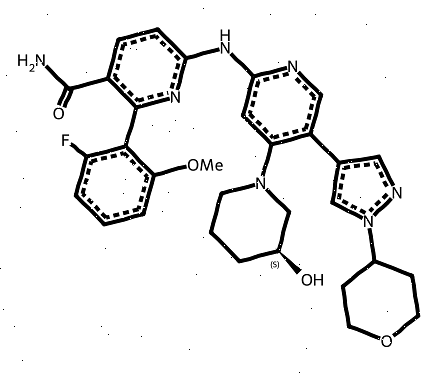 COc1cccc(F)c1-c1nc(Nc2cc(N3CCC[C@H](O)C3)c(-c3cnn(C4CCOCC4)c3)cn2)ccc1C(N)=O